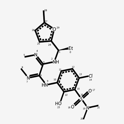 CC[C@@H](NC(=N/C)/C(=N\C)Nc1ccc(Cl)c(S(=O)(=O)N(C)C)c1O)c1ccc(C)o1